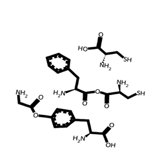 NCC(=O)Oc1ccc(C[C@H](N)C(=O)O)cc1.N[C@@H](CS)C(=O)O.N[C@@H](CS)C(=O)OC(=O)[C@@H](N)Cc1ccccc1